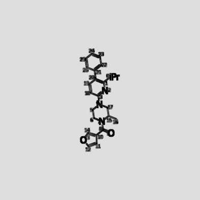 CC(C)c1nc(N2CCN(C(=O)c3ccoc3)C(C)C2)ccc1-c1ccccc1